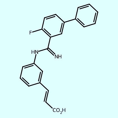 N=C(Nc1cccc(C=CC(=O)O)c1)c1cc(-c2ccccc2)ccc1F